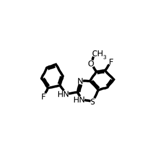 COc1c(F)ccc2c1N=C(Nc1ccccc1F)NS2